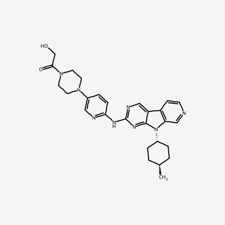 C[C@H]1CC[C@H](n2c3cnccc3c3cnc(Nc4ccc(N5CCN(C(=O)CO)CC5)cn4)nc32)CC1